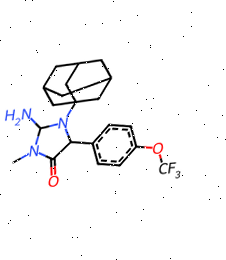 CN1C(=O)C(c2ccc(OC(F)(F)F)cc2)N(C23CC4CC(CC(C4)C2)C3)C1N